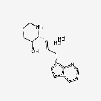 Cl.Cl.O[C@H]1CCCN[C@@H]1/C=C/Cn1ccc2cccnc21